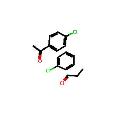 CC(=O)c1ccc(Cl)cc1.CCC=O.Clc1ccccc1